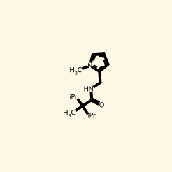 CC(C)C(C)(C(=O)NCc1cccn1C)C(C)C